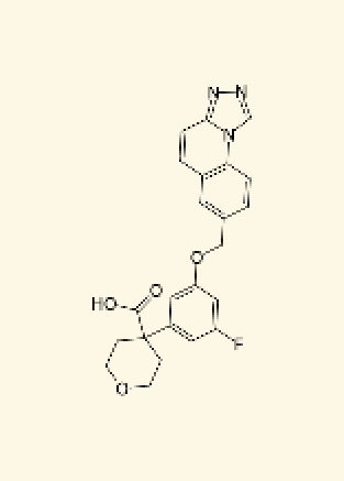 O=C(O)C1(c2cc(F)cc(OCc3ccc4c(ccc5nncn54)c3)c2)CCOCC1